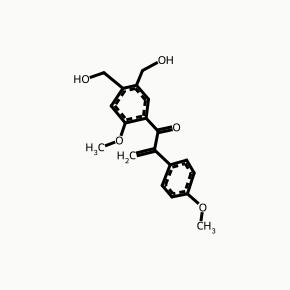 C=C(C(=O)c1cc(CO)c(CO)cc1OC)c1ccc(OC)cc1